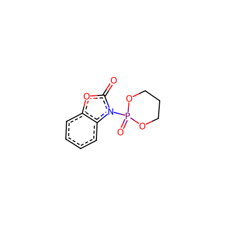 O=c1oc2ccccc2n1P1(=O)OCCCO1